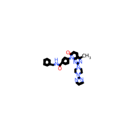 Cc1nc(N2CCN(c3ncccn3)CC2)nc2c1ccc(=O)n2-c1ccc(C(=O)NCc2ccccc2)cc1